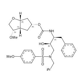 COc1ccc(S(=O)(=O)N(CC(C)C)C[C@@H](O)[C@H](Cc2ccccc2)NC(=O)O[C@@H]2C[C@@H]3[C@H](OC)CO[C@@H]3C2)cc1